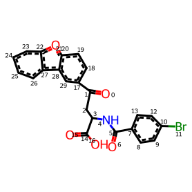 O=C(CC(NC(=O)c1ccc(Br)cc1)C(=O)O)c1ccc2oc3ccccc3c2c1